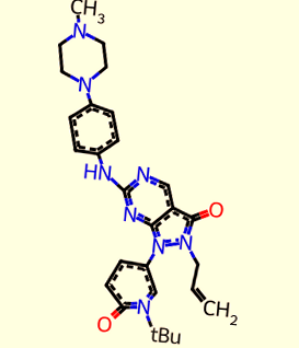 C=CCn1c(=O)c2cnc(Nc3ccc(N4CCN(C)CC4)cc3)nc2n1-c1ccc(=O)n(C(C)(C)C)c1